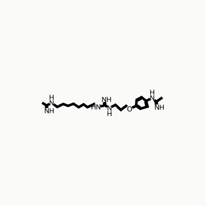 CC(=N)NCCCCCCCCNC(=N)NCCCOc1ccc(NC(C)=N)cc1